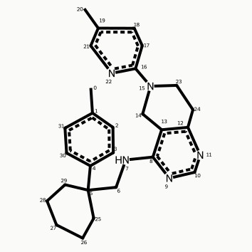 Cc1ccc(C2(CNc3ncnc4c3CN(c3ccc(C)cn3)CC4)CCCCC2)cc1